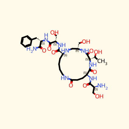 CC(O)[C@@H]1NC(=O)[C@@H](NC(=O)[C@@H](N)CO)CCC(=O)NCCCC[C@@H](C(=O)N[C@@H](CO)C(=O)N[C@@H](Cc2ccccc2)C(N)=O)NC[C@H](CO)NC1=O